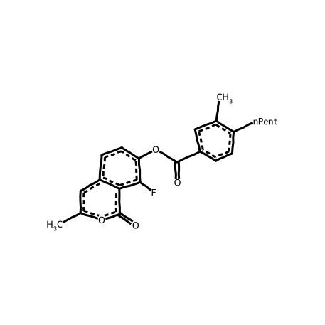 CCCCCc1ccc(C(=O)Oc2ccc3cc(C)oc(=O)c3c2F)cc1C